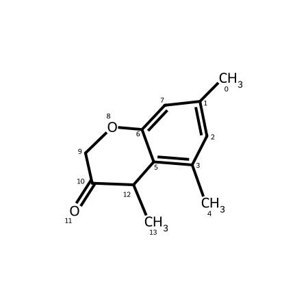 Cc1cc(C)c2c(c1)OCC(=O)C2C